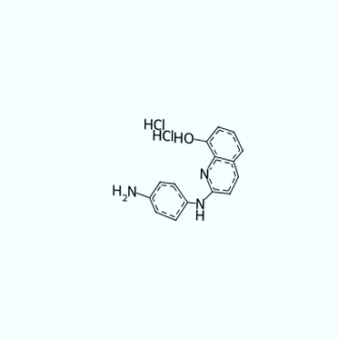 Cl.Cl.Nc1ccc(Nc2ccc3cccc(O)c3n2)cc1